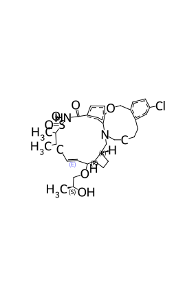 CC1C/C=C/C(OC[C@H](C)O)[C@@H]2CC[C@H]2CN2CCCCc3cc(Cl)ccc3COc3ccc(cc32)C(=O)NS(=O)(=O)C1C